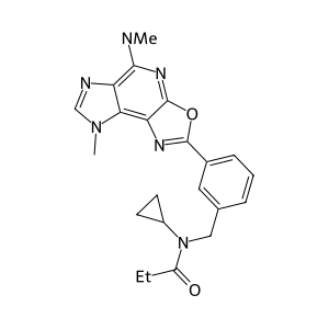 CCC(=O)N(Cc1cccc(-c2nc3c(nc(NC)c4ncn(C)c43)o2)c1)C1CC1